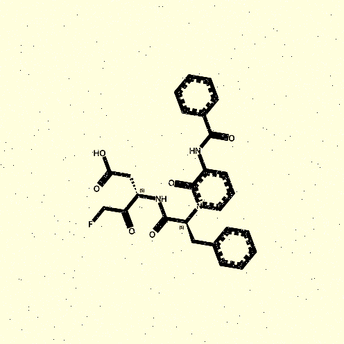 O=C(O)C[C@H](NC(=O)[C@H](Cc1ccccc1)n1cccc(NC(=O)c2ccccc2)c1=O)C(=O)CF